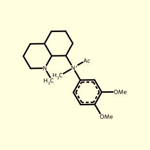 COc1ccc([N+](C)(C(C)=O)C2CCCC3CCCN(C)C32)cc1OC